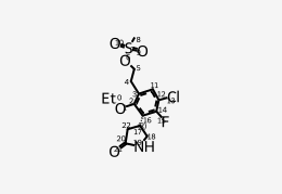 CCOc1c(CCOS(C)(=O)=O)cc(Cl)c(F)c1[C@@H]1CNC(=O)C1